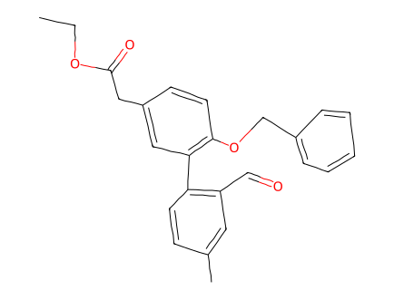 CCOC(=O)Cc1ccc(OCc2ccccc2)c(-c2ccc(C)cc2C=O)c1